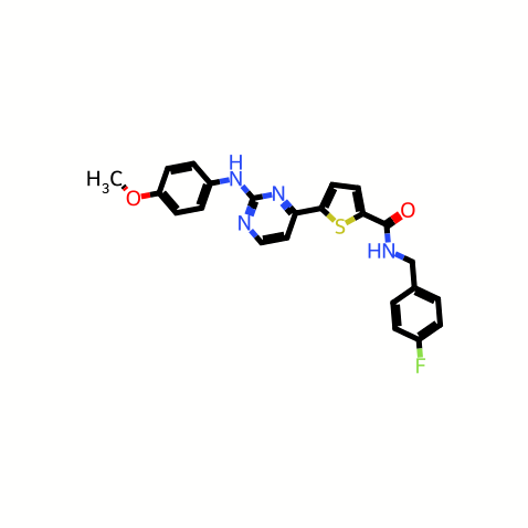 COc1ccc(Nc2nccc(-c3ccc(C(=O)NCc4ccc(F)cc4)s3)n2)cc1